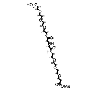 COC(=O)CCOCCOCCOCCNC(=O)CNCC(=O)NCCOCCOCCOCCC(=O)O